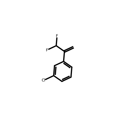 C=C(c1cccc(Cl)c1)C(F)F